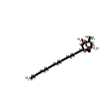 N=C(N)NCCC[C@@H]1NC(=O)[C@@H]2CSSC[C@H](NC(=O)[C@H](CC(=O)O)NC(=O)CNC1=O)C(=O)N[C@@H](Cc1ccccc1)C(=O)N[C@H](C(=O)NCCOCCOCCOCCNC(=O)COCC(=O)NCCOCCOCCOCCNC(=O)COCC(=O)NCCOCCOCCOCCNC(=O)COCC(=O)NCCOCCOCCOCCNC(=O)COCC(N)=O)CSCC(=O)N[C@@H](CCCCN)C(=O)N2